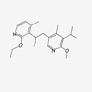 CCOc1nccc(C)c1C(C)Cc1cnc(OC)c(C(C)C)c1C